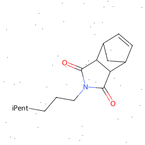 CCCC(C)CCCN1C(=O)C2C3C=CC(C3)C2C1=O